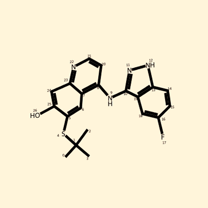 CC(C)(C)Sc1cc2c(Nc3n[nH]c4ccc(F)cc34)ccnc2cc1O